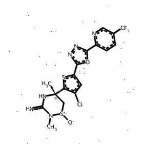 CN1C(=N)N[C@](C)(c2sc(-c3nnc(-c4ccc(C(F)(F)F)cn4)o3)cc2Cl)C[S+]1[O-]